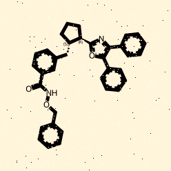 O=C(NOCc1ccccc1)c1cccc(C[C@@H]2CCC[C@H]2c2nc(-c3ccccc3)c(-c3ccccc3)o2)c1